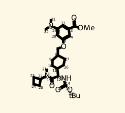 COC(=O)c1cc(OCC2CCC([C@H](NC(=O)OC(C)(C)C)C(=O)N(C)C3CCC3)CC2)cc(N(C)C)c1